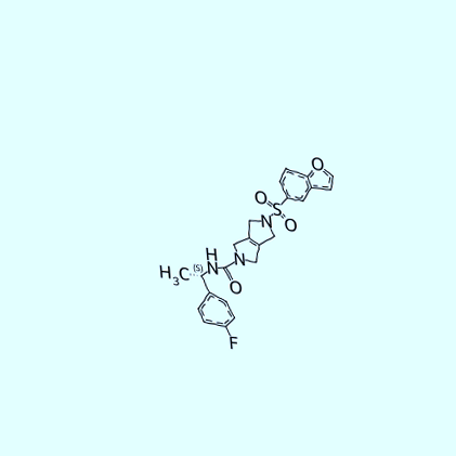 C[C@H](NC(=O)N1CC2=C(C1)CN(S(=O)(=O)c1ccc3occc3c1)C2)c1ccc(F)cc1